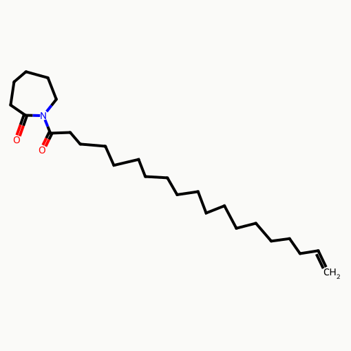 C=CCCCCCCCCCCCCCCCCC(=O)N1CCCCCC1=O